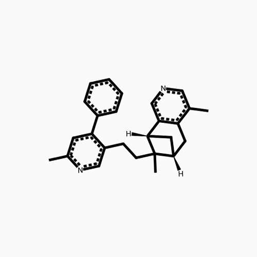 Cc1cc(-c2ccccc2)c(CCC2(C)[C@H]3Cc4c(C)cncc4[C@@H]2C3)cn1